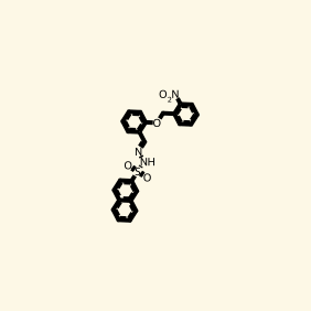 O=[N+]([O-])c1ccccc1COc1ccccc1C=NNS(=O)(=O)c1ccc2ccccc2c1